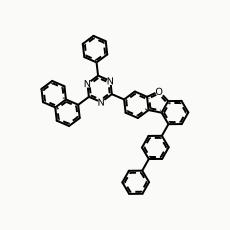 c1ccc(-c2ccc(-c3cccc4oc5cc(-c6nc(-c7ccccc7)nc(-c7cccc8ccccc78)n6)ccc5c34)cc2)cc1